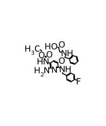 CCOC(=O)Nc1ccc(NCc2ccc(F)cc2)nc1N.O=C(O)CNC(=O)c1ccccc1